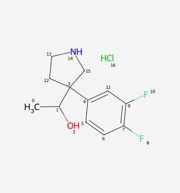 CC(O)C1(c2ccc(F)c(F)c2)CCNC1.Cl